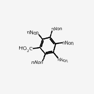 CCCCCCCCCc1c(CCCCCCCCC)c(CCCCCCCCC)c(C(=O)O)c(CCCCCCCCC)c1CCCCCCCCC